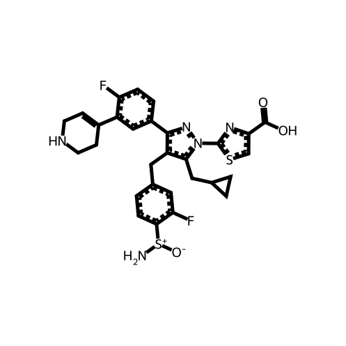 N[S+]([O-])c1ccc(Cc2c(-c3ccc(F)c(C4=CCNCC4)c3)nn(-c3nc(C(=O)O)cs3)c2CC2CC2)cc1F